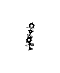 C[C@H]1CCCCN1[C@H]1C[C@H](c2nc3ccc(C(=O)NC4CC4)cc3s2)C1